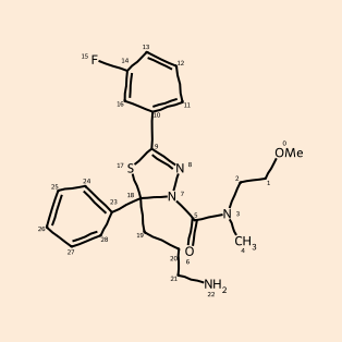 COCCN(C)C(=O)N1N=C(c2cccc(F)c2)SC1(CCCN)c1ccccc1